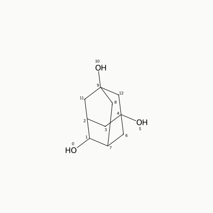 OC1C2CC3(O)CC1CC(O)(C2)C3